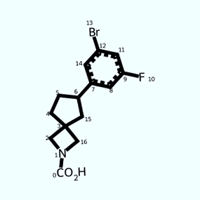 O=C(O)N1CC2(CCC(c3cc(F)cc(Br)c3)C2)C1